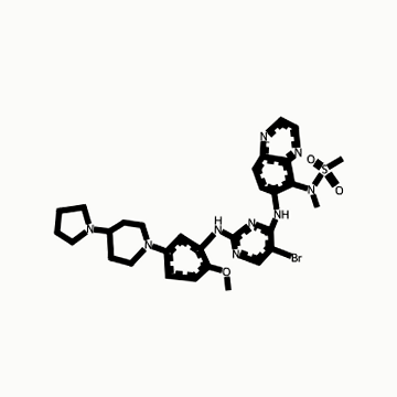 COc1ccc(N2CCC(N3CCCC3)CC2)cc1Nc1ncc(Br)c(Nc2ccc3nccnc3c2N(C)S(C)(=O)=O)n1